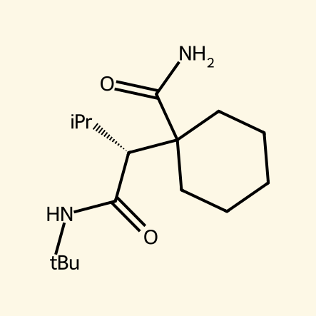 CC(C)[C@@H](C(=O)NC(C)(C)C)C1(C(N)=O)CCCCC1